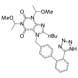 CCCCc1nc2c(c(=O)n(C(C)OC)c(=O)n2C(C)OC)n1Cc1ccc(-c2ccccc2-c2nnn[nH]2)cc1